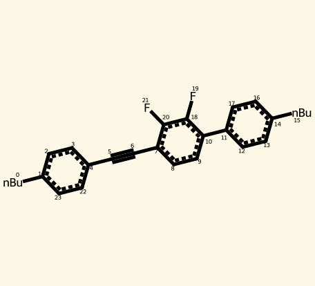 CCCCc1ccc(C#Cc2ccc(-c3ccc(CCCC)cc3)c(F)c2F)cc1